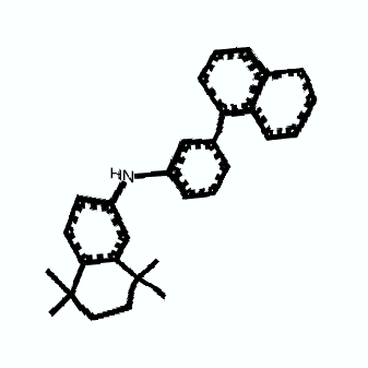 CC1(C)CCC(C)(C)c2cc(Nc3cccc(-c4cccc5ccccc45)c3)ccc21